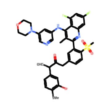 CSc1ccc(C(C=O)C(=O)Cc2ccc(S(C)(=O)=O)c(-c3nc4cc(F)cc(F)c4c(Nc4cncc(N5CCOCC5)c4)c3C)c2)cc1Br